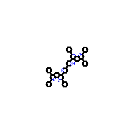 CN1C(c2ccccc2)=CC(c2ccc(C3=CNC(c4cc(-c5ccccc5)nc5c4ccc4c(-c6ccccc6)cc(-c6ccccc6)nc45)C=C3)cn2)=C2C=Cc3c(-c4ccccc4)cc(-c4ccccc4)nc3C21